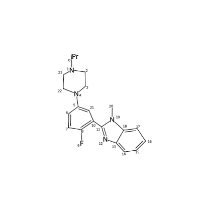 CC(C)N1CCN(c2ccc(F)c(-c3nc4ccccc4n3C)c2)CC1